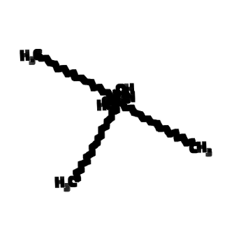 CCCCCCCCC=CCCCCCCCC(=O)C(O)(CO)C(O)(CCCCCCCCCCCCCCCCCC)C(=O)CCCCCCCC=CCCCCCCCC